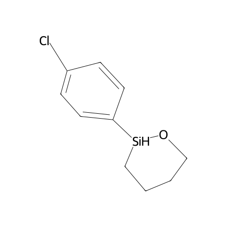 Clc1ccc([SiH]2CCCCO2)cc1